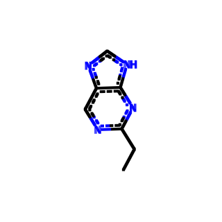 CCc1ncc2nc[nH]c2n1